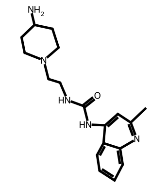 Cc1cc(NC(=O)NCCN2CCC(N)CC2)c2ccccc2n1